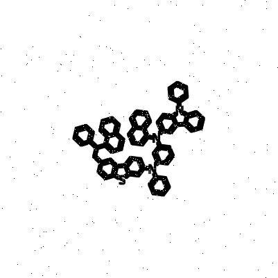 c1ccc(C(Cc2ccc3sc4cc(N(c5ccccc5)c5cccc(N(c6ccc7c(c6)c6ccccc6n7-c6ccccc6)c6cccc7ccccc67)c5)ccc4c3c2)c2cccc3ccccc23)cc1